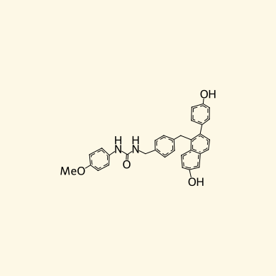 COc1ccc(NC(=O)NCc2ccc(Cc3c(-c4ccc(O)cc4)ccc4cc(O)ccc34)cc2)cc1